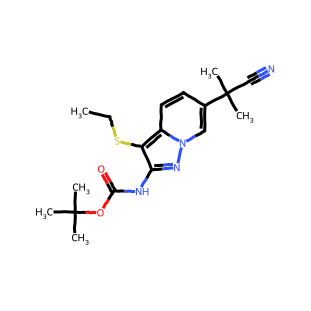 CCSc1c(NC(=O)OC(C)(C)C)nn2cc(C(C)(C)C#N)ccc12